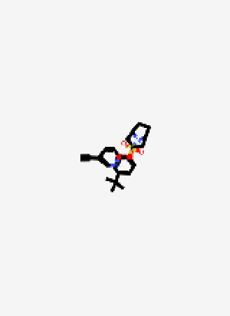 C#Cc1ccc(OC2CC3CCC(C2)N3S(=O)(=O)c2ccc(C(C)(C)C)cc2)nc1